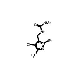 CNC(=O)NCc1c(Cl)c(C(F)(F)F)nn1C(C)C